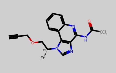 C#CCOC[C@@H](CC)n1cnc2c(NC(=O)C(Cl)(Cl)Cl)nc3ccccc3c21